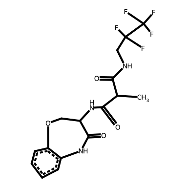 CC(C(=O)NCC(F)(F)C(F)(F)F)C(=O)NC1COc2ccccc2NC1=O